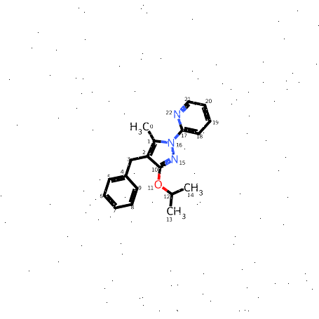 Cc1c(Cc2ccccc2)c(OC(C)C)nn1-c1ccccn1